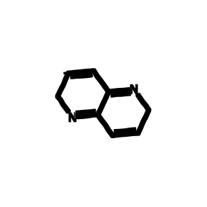 [C]1=CC2=NCC=CC2=NC1